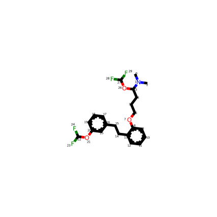 CN(C)C(CCCOc1ccccc1CCc1cccc(OC(F)F)c1)OC(F)F